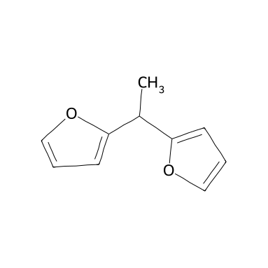 CC(c1ccco1)c1ccco1